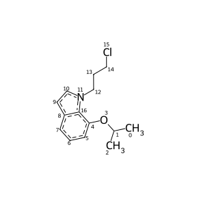 CC(C)Oc1cccc2ccn(CCCCl)c12